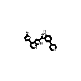 CC(=O)c1ccc(-c2ccnc3[nH]c(-c4n[nH]c5ccc(-c6ccncc6)cc45)cc23)s1